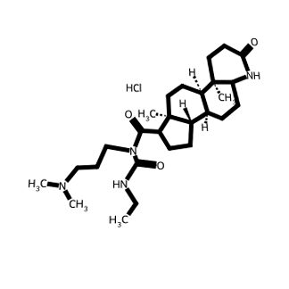 CCNC(=O)N(CCCN(C)C)C(=O)C1CC[C@H]2[C@@H]3CCC4NC(=O)CC[C@]4(C)[C@@H]3CC[C@]12C.Cl